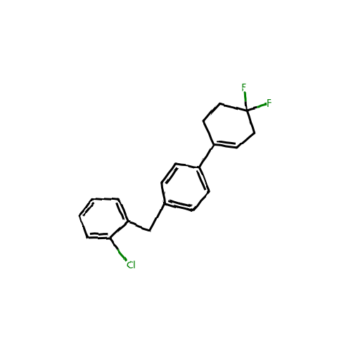 FC1(F)CC=C(c2ccc(Cc3ccccc3Cl)cc2)CC1